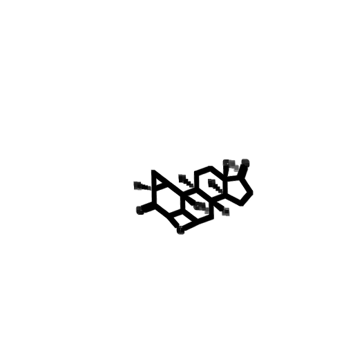 C[C@]12C3C(C[C@@H]4[C@@H]1CC[C@]1(C)C(=O)CC[C@@H]41)OC3C(=O)[C@H]1CC12